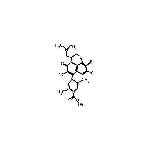 C[C@H]1CN(c2c(C#N)c(=O)n3c4c(c(Br)c(Cl)cc24)OC[C@@H]3CN(C)C)[C@@H](C)CN1C(=O)OC(C)(C)C